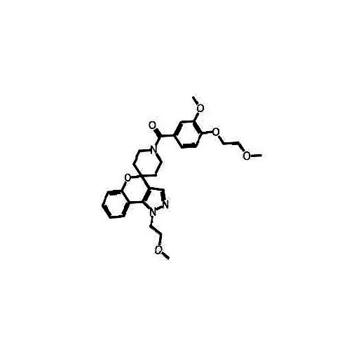 COCCOc1ccc(C(=O)N2CCC3(CC2)Oc2ccccc2-c2c3cnn2CCOC)cc1OC